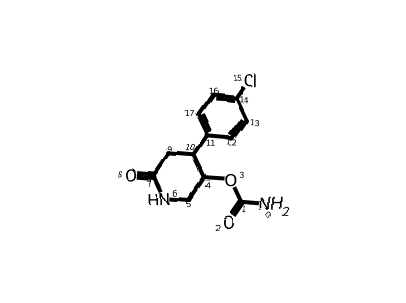 NC(=O)OC1CNC(=O)CC1c1ccc(Cl)cc1